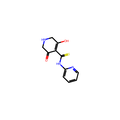 O=C1CNCC(O)=C1C(=S)Nc1ccccn1